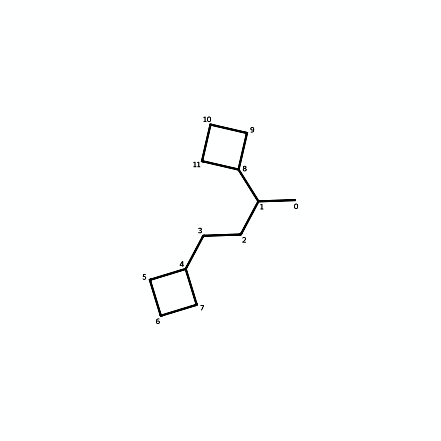 CC(CCC1CCC1)C1CCC1